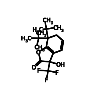 CC(C)(C)C1(C(C)(C)C)CC=CC2=C1OC(=O)C2(O)C(F)(F)F